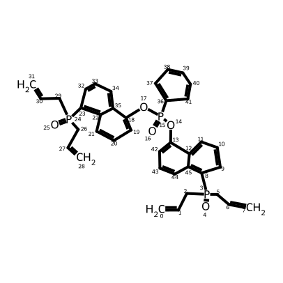 C=CCP(=O)(CC=C)c1cccc2c(OP(=O)(Oc3cccc4c(P(=O)(CC=C)CC=C)cccc34)c3ccccc3)cccc12